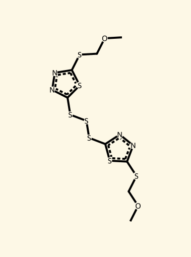 COCSc1nnc(SSSc2nnc(SCOC)s2)s1